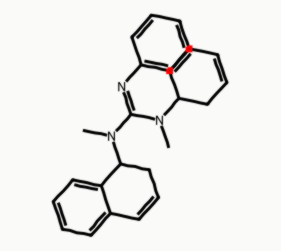 CN(/C(=N\c1ccccc1)N(C)C1CC=Cc2ccccc21)C1C=CC=CC1